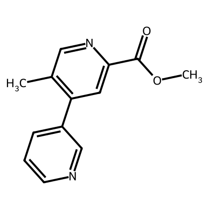 COC(=O)c1cc(-c2cccnc2)c(C)cn1